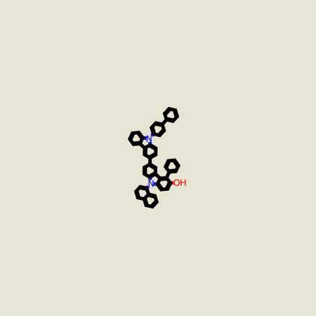 Oc1ccc2c(c1-c1ccccc1)c1cc(-c3ccc4c(c3)c3ccccc3n4-c3ccc(-c4ccccc4)cc3)ccc1n2-c1cccc2ccccc12